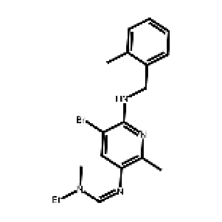 CCN(C)/C=N\c1cc(Br)c(NCc2ccccc2C)nc1C